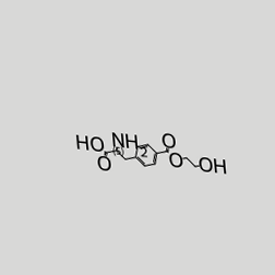 N[C@@H](Cc1ccc(C(=O)OCCO)cc1)C(=O)O